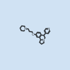 c1cc(C2CN3CCCC3c3cc(OCCCN4CCCCC4)ccc32)ccn1